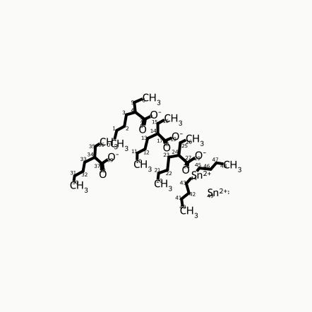 CCCCC(CC)C(=O)[O-].CCCCC(CC)C(=O)[O-].CCCCC(CC)C(=O)[O-].CCCCC(CC)C(=O)[O-].CCC[CH2][Sn+2][CH2]CCC.[Sn+2]